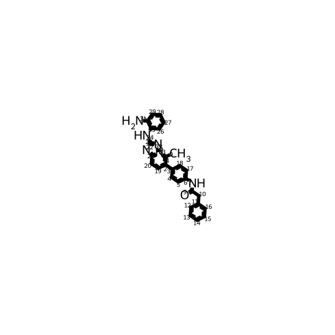 Cc1c(-c2ccc(NC(=O)Cc3ccccc3)cc2)ccc2nc(Nc3ccccc3N)nn12